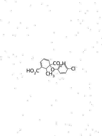 CC1C(C(=O)O)=CC=CC1(Oc1ccc(Cl)cc1)C(=O)O